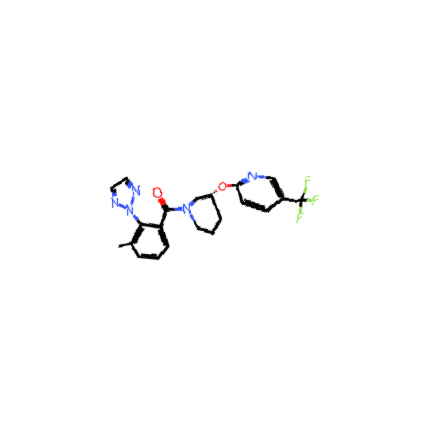 Cc1cccc(C(=O)N2CCC[C@@H](Oc3ccc(C(F)(F)F)cn3)C2)c1-n1nccn1